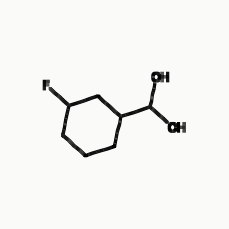 OC(O)C1CCCC(F)C1